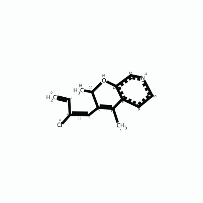 C=C/C(Cl)=C\C1=C(C)c2ccncc2OC1C